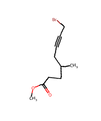 COC(=O)CCC(C)CC#CCBr